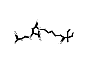 CCC(C)(CC)C(=O)CCCCCN1C(=O)CC(SCCC(C)=O)C1=O